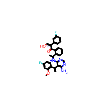 C=C(c1ccc(F)cc1OC)c1c(N)ncnc1NC(C)c1ccccc1C(=O)/C(=C\O)c1cccc(F)c1